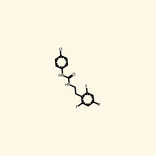 O=C(NCCc1c(F)cc(F)cc1F)Nc1ccc(Cl)cc1